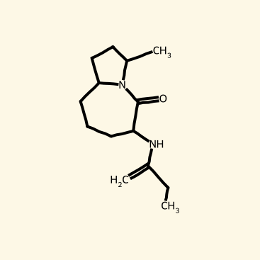 C=C(CC)NC1CCCC2CCC(C)N2C1=O